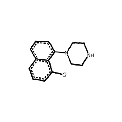 Clc1cccc2cccc(N3CCNCC3)c12